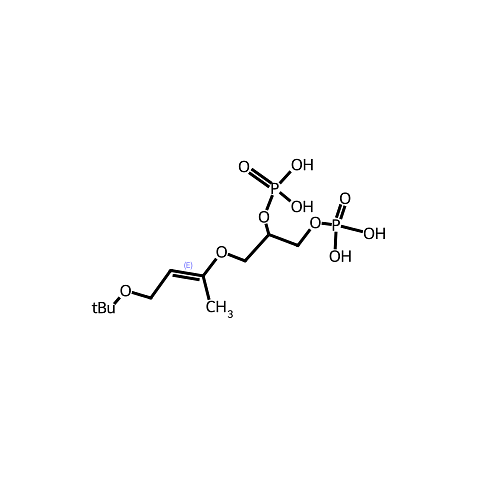 C/C(=C\COC(C)(C)C)OCC(COP(=O)(O)O)OP(=O)(O)O